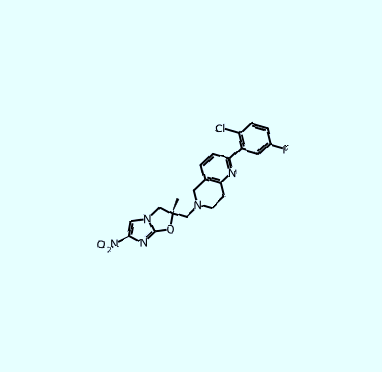 C[C@]1(CN2CCc3nc(-c4cc(F)ccc4Cl)ccc3C2)Cn2cc([N+](=O)[O-])nc2O1